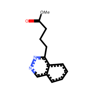 COC(=O)CCCc1nncc2ccccc12